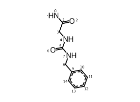 [NH]C(=O)CNC(=O)NCc1ccccc1